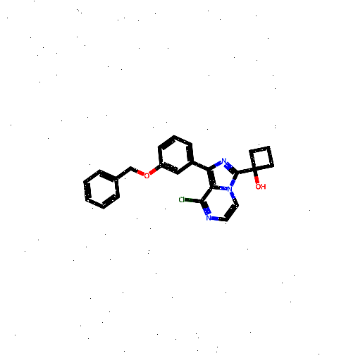 OC1(c2nc(-c3cccc(OCc4ccccc4)c3)c3c(Cl)nccn23)CCC1